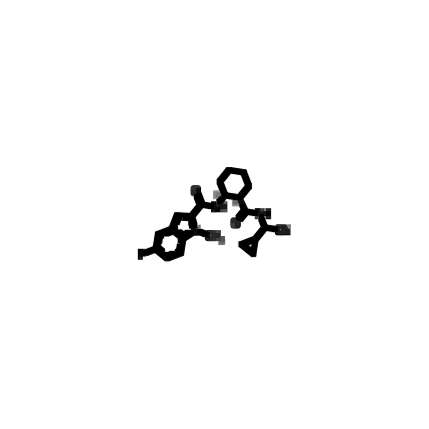 Cn1c(C(=O)N[C@H]2CCCC[C@H]2C(=O)NC(C#N)C2CC2)cc2cc(F)ccc21